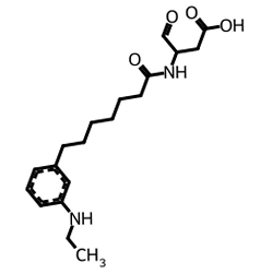 CCNc1cccc(CCCCCCC(=O)NC(C=O)CC(=O)O)c1